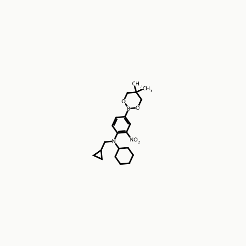 CC1(C)COB(c2ccc(N(CC3CC3)C3CCCCC3)c([N+](=O)[O-])c2)OC1